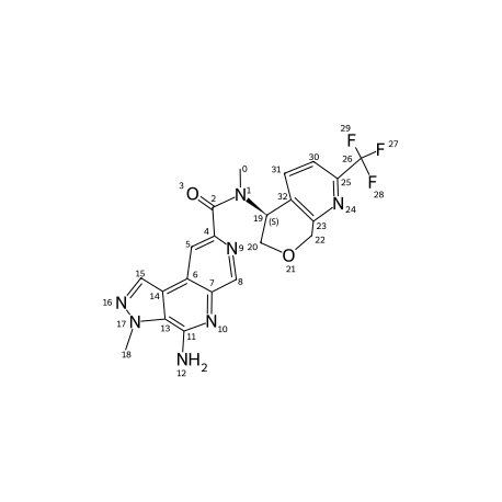 CN(C(=O)c1cc2c(cn1)nc(N)c1c2cnn1C)[C@@H]1COCc2nc(C(F)(F)F)ccc21